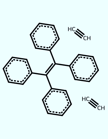 C#C.C#C.c1ccc(C(=C(c2ccccc2)c2ccccc2)c2ccccc2)cc1